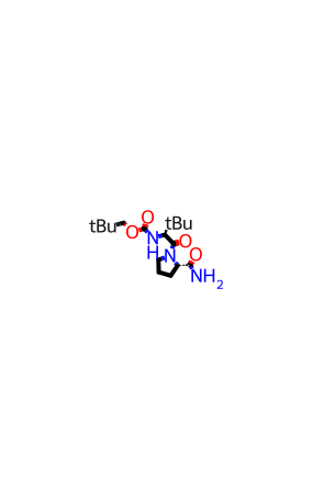 CC(C)(C)COC(=O)N[C@H](C(=O)N1CCC[C@H]1C(N)=O)C(C)(C)C